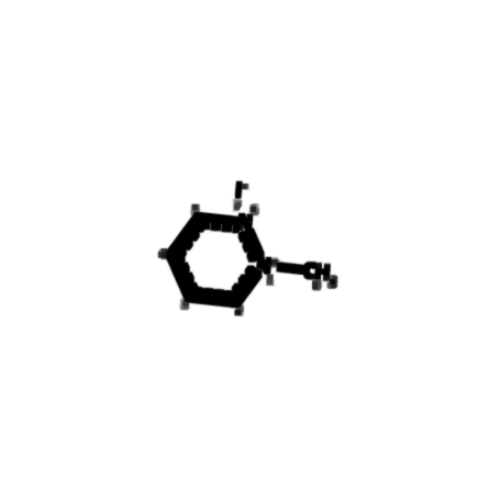 C[n+]1ccccn1.[I-]